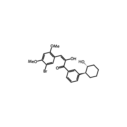 COc1cc(OC)c(/C=C(/O)C(=O)c2cccc([C@@H]3CCCC[C@H]3O)c2)cc1Br